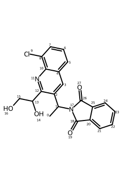 CC(c1cc2cccc(Cl)c2nc1C(O)CO)N1C(=O)c2ccccc2C1=O